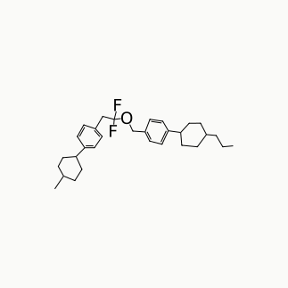 CCCC1CCC(c2ccc(COC(F)(F)Cc3ccc(C4CCC(C)CC4)cc3)cc2)CC1